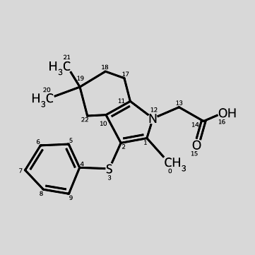 Cc1c(Sc2ccccc2)c2c(n1CC(=O)O)CCC(C)(C)C2